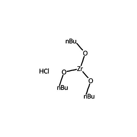 CCCC[O][Zr]([O]CCCC)[O]CCCC.Cl